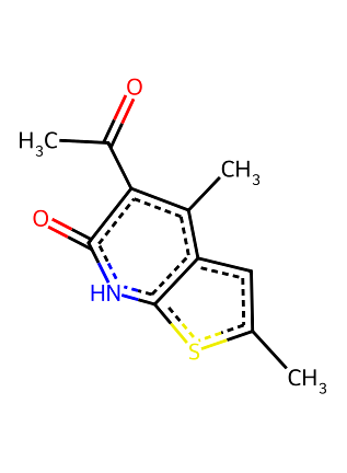 CC(=O)c1c(C)c2cc(C)sc2[nH]c1=O